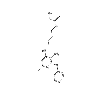 Cc1cc(NCCCCNC(=O)OC(C)(C)C)c(N)c(Oc2ccccc2)n1